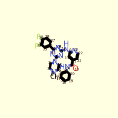 CN1CCN(c2nc(Nc3cc(C(=O)Nc4ccccc4)ccn3)nc(-c3ccc(F)c(F)c3)n2)CC1